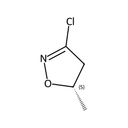 C[C@H]1CC(Cl)=NO1